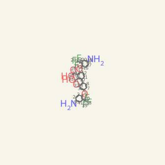 Nc1ccc(Oc2ccc(-c3ccc(Oc4ccc(N)cc4C(F)(F)F)c(C(=O)O)c3C(=O)O)cc2)c(C(F)(F)F)c1